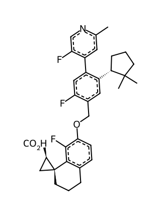 Cc1cc(-c2cc(F)c(COc3ccc4c(c3F)[C@]3(CCC4)C[C@H]3C(=O)O)cc2[C@@H]2CCCC2(C)C)c(F)cn1